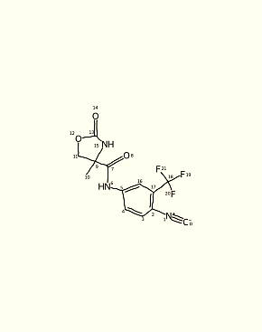 [C-]#[N+]c1ccc(NC(=O)C2(C)COC(=O)N2)cc1C(F)(F)F